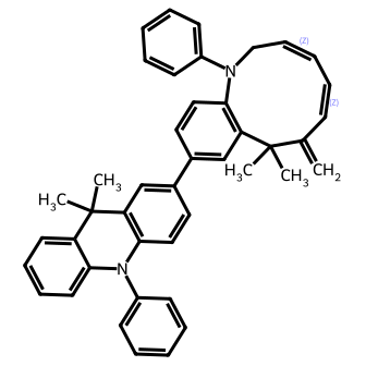 C=C1/C=C\C=C/CN(c2ccccc2)c2ccc(-c3ccc4c(c3)C(C)(C)c3ccccc3N4c3ccccc3)cc2C1(C)C